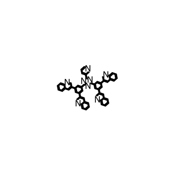 c1cncc(-c2nc(-c3cc(-c4cnc5ccccc5c4)cc(-c4cnc5ccccc5c4)c3)nc(-c3cc(-c4cnc5ccccc5c4)cc(-c4cnc5ccccc5c4)c3)n2)c1